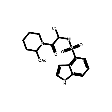 CCC(NS(=O)(=O)c1cccc2[nH]ccc12)C(=O)N1CCCCC1OC(C)=O